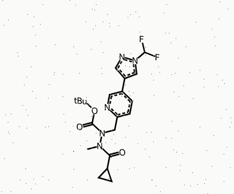 CN(C(=O)C1CC1)N(Cc1ccc(-c2cnn(C(F)F)c2)cn1)C(=O)OC(C)(C)C